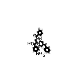 Nc1ccc(C(O)C(CNC(=O)c2ccccc2)N2CCC(Cc3ccccc3)CC2)cc1